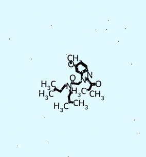 COc1ccc2nc(C(=O)C(C)C)n(CC(=O)N(CCC(C)C)CCC(C)C)c2c1